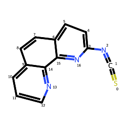 S=C=Nc1ccc2ccc3cccnc3c2n1